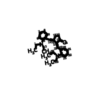 CCN(CC)c1ccccc1C=C1CCC(=O)C1=Cc1ccccc1N(CC)CC